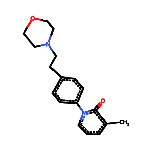 Cc1cccn(-c2ccc(CCN3CCOCC3)cc2)c1=O